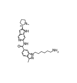 Cc1nn(CCCCCCN)c2cc(C(=O)Nc3cc4[nH]c([C@H]5CCCN5C)cc4cn3)ccc12